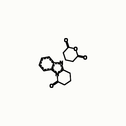 O=C1CCCC(=O)O1.O=C1CCCc2nc3ccccc3n21